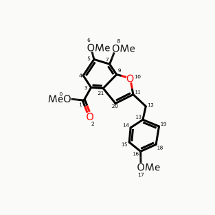 COC(=O)c1cc(OC)c(OC)c2oc(Cc3ccc(OC)cc3)cc12